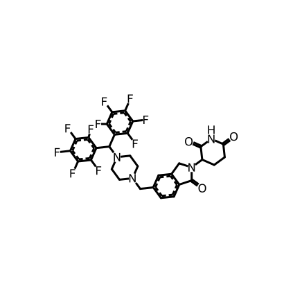 O=C1CCC(N2Cc3cc(CN4CCN(C(c5c(F)c(F)c(F)c(F)c5F)c5c(F)c(F)c(F)c(F)c5F)CC4)ccc3C2=O)C(=O)N1